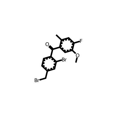 COc1cc(C(=O)c2ccc(CBr)cc2Br)c(C)cc1F